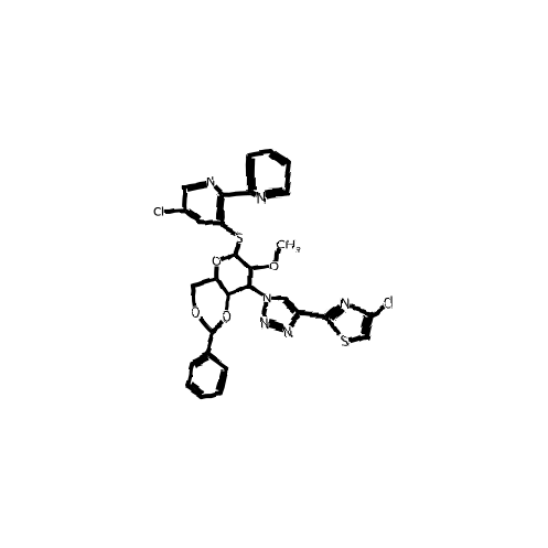 COC1C(Sc2cc(Cl)cnc2-c2ccccn2)OC2COC(c3ccccc3)OC2C1n1cc(-c2nc(Cl)cs2)nn1